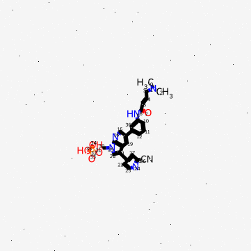 CN(C)CC=CC(=O)Nc1cccc(-c2cnc3c(c2)c(-c2ccnc(C#N)c2)cn3COP(=O)(O)O)c1